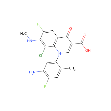 CNc1c(F)cc2c(=O)c(C(=O)O)cn(-c3cc(N)c(F)cc3C)c2c1Cl